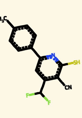 Cc1ccc(-c2cc(C(F)F)c(C#N)c(S)n2)cc1